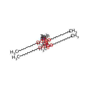 CCCCCCCCCCCCCCCCCCOCCOC(C)S(C(C)OCCOCCCCCCCCCCCCCCCCCC)=P([O-])([O-])[S-].CCCCCCCCCCCCCCCCCCOCCOC(C)S(C(C)OCCOCCCCCCCCCCCCCCCCCC)=P([O-])([O-])[S-].[Zn+2].[Zn+2].[Zn+2]